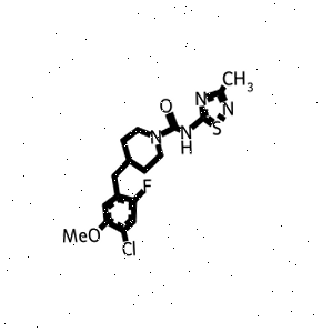 COc1cc(CC2CCN(C(=O)Nc3nc(C)ns3)CC2)c(F)cc1Cl